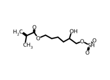 C=C(C)C(=O)OCCCCC(O)CO[SH](=O)=O